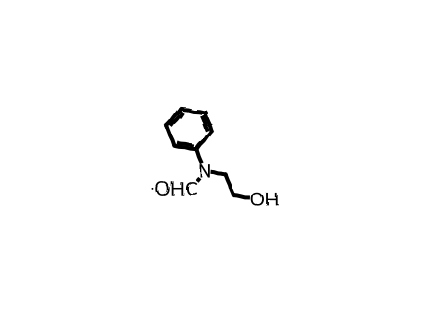 O=[C]N(CCO)c1ccccc1